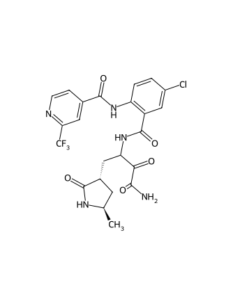 C[C@@H]1C[C@@H](CC(NC(=O)c2cc(Cl)ccc2NC(=O)c2ccnc(C(F)(F)F)c2)C(=O)C(N)=O)C(=O)N1